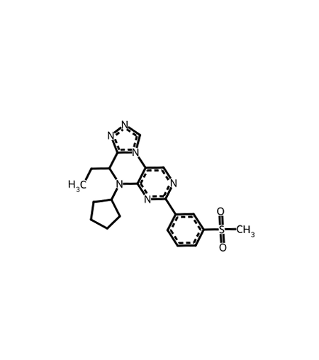 CCC1c2nncn2-c2cnc(-c3cccc(S(C)(=O)=O)c3)nc2N1C1CCCC1